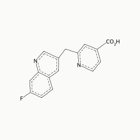 O=C(O)c1ccnc(Cc2cnc3cc(F)ccc3c2)c1